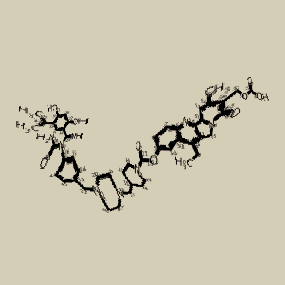 CCc1c2c(nc3ccc(OC(=O)N4CCC(CN5CCN(Cc6ccc(N(C(=N)c7cc(C(C)C)c(O)cc7O)C(N)=O)cc6)CC5)CC4)cc13)-c1cc(C)c(COC(=O)O)c(=O)n1C2